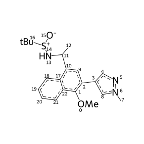 COc1c(-c2cnn(C)c2)cc(C(C)N[S+]([O-])C(C)(C)C)c2ccccc12